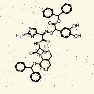 Nc1nc(/C(=N/OC(C(=O)OC(c2ccccc2)c2ccccc2)c2ccc(O)c(O)c2)C(=O)NC2C(=O)N3C(C(=O)OC(c4ccccc4)c4ccccc4)=C(CCl)CS[C@H]23)cs1